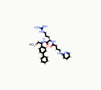 N=C(N)NCCC[C@@H](NC(=O)CCCNc1ccccn1)C(=O)NC(CC(=O)O)c1ccc(-c2ccccc2)cc1